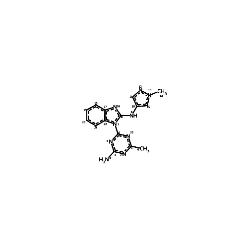 Cc1nc(N)nc(-n2c(Nc3cnn(C)c3)nc3ccccc32)n1